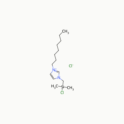 CCCCCCCC[n+]1ccn(C[Si](C)(C)Cl)c1.[Cl-]